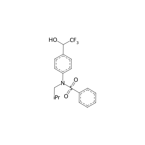 CC(C)CN(c1ccc(C(O)C(F)(F)F)cc1)S(=O)(=O)c1ccccc1